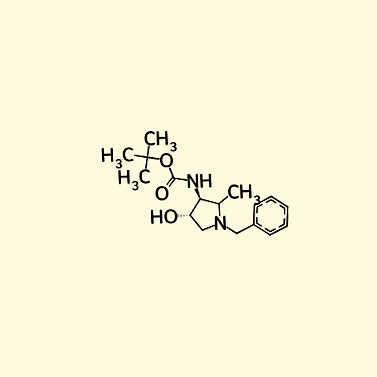 CC1[C@H](NC(=O)OC(C)(C)C)[C@@H](O)CN1Cc1ccccc1